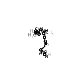 COc1cc(N2CCC(N3CCN(C(=O)CCC#Cc4cccc5c4CN(C4CCC(=O)NC4=O)C5=O)CC3)CC2)ccc1Nc1ncc(Cl)c(Nc2ccccc2P(=O)(OC)OC)n1